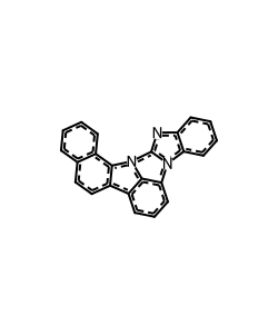 c1ccc2c(c1)ccc1c3cccc4c3n(c21)c1nc2ccccc2n41